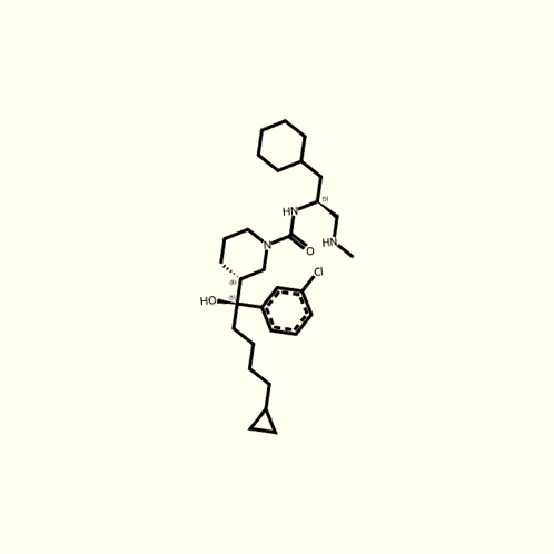 CNC[C@H](CC1CCCCC1)NC(=O)N1CCC[C@@H]([C@@](O)(CCCCC2CC2)c2cccc(Cl)c2)C1